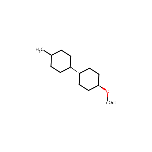 CCCCCCCCO[C@H]1CC[C@H](C2CCC(C)CC2)CC1